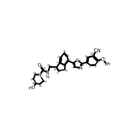 CC(C)Oc1ccc(-c2ncc(-c3cccc4c3CCC4CNC(=O)N3CCC(O)CC3)s2)cc1C#N